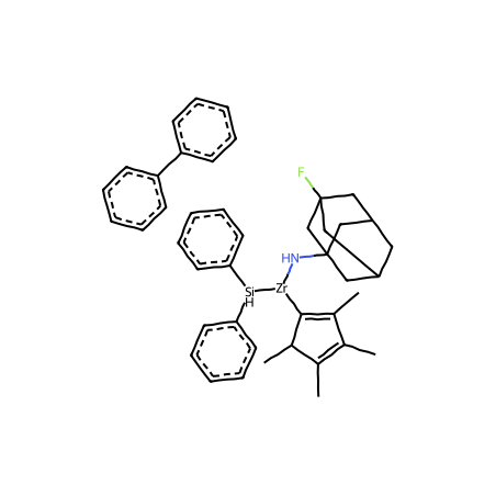 CC1=C(C)C(C)[C]([Zr]([NH]C23CC4CC(CC(F)(C4)C2)C3)[SiH](c2ccccc2)c2ccccc2)=C1C.c1ccc(-c2ccccc2)cc1